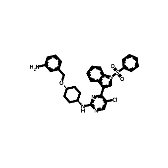 Nc1cccc(CO[C@H]2CC[C@H](Nc3ncc(Cl)c(-c4cn(S(=O)(=O)c5ccccc5)c5ccccc45)n3)CC2)c1